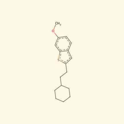 COc1ccc2cc(CCC3CCCCC3)sc2c1